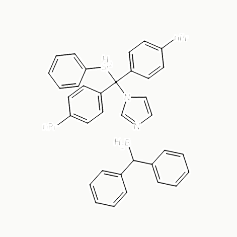 BC(c1ccccc1)c1ccccc1.CCCc1ccc(C([SiH2]c2ccccc2)(c2ccc(CCC)cc2)n2ccnc2)cc1